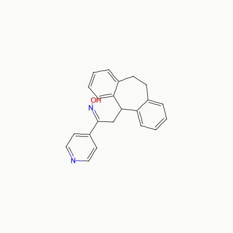 O/N=C(\CC1c2ccccc2CCc2ccccc21)c1ccncc1